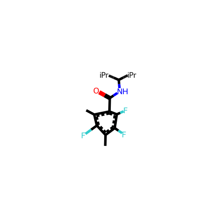 Cc1c(F)c(C)c(C(=O)NC(C(C)C)C(C)C)c(F)c1F